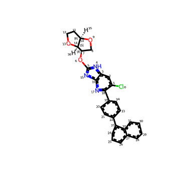 Clc1cc2[nH]c(O[C@@H]3CO[C@@H]4CCO[C@@H]43)nc2nc1-c1ccc(-c2cccc3ccccc23)cc1